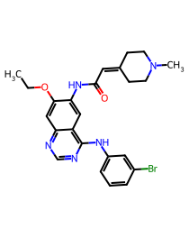 CCOc1cc2ncnc(Nc3cccc(Br)c3)c2cc1NC(=O)C=C1CCN(C)CC1